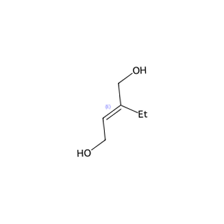 CC/C(=C\CO)CO